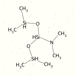 CN(C)[SiH](O[SiH](C)C)O[SiH](C)C